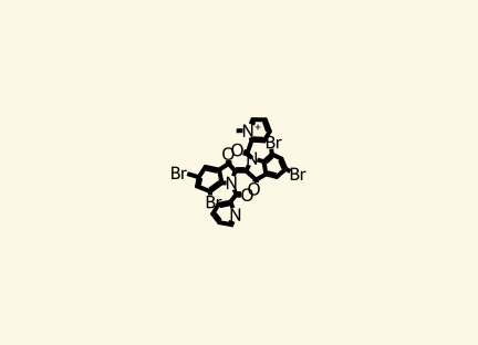 C[n+]1ccccc1C(=O)N1/C(=C2\C(=O)c3cc(Br)cc(Br)c3N2C(=O)c2ccccn2)C(=O)c2cc(Br)cc(Br)c21